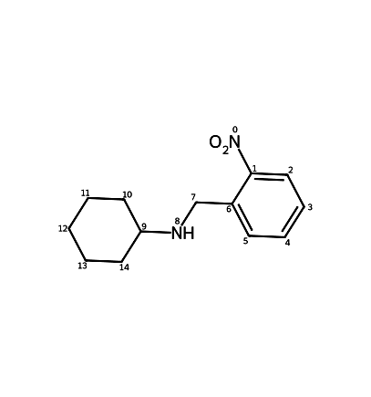 O=[N+]([O-])c1ccccc1CNC1CCCCC1